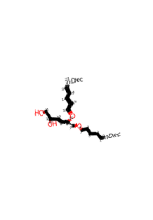 CCCCCCCCCCCCCCCOC[C@H](CC[C@@H](O)CO)OCCCCCCCCCCCCCCC